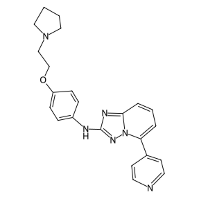 c1cc(-c2ccncc2)n2nc(Nc3ccc(OCCN4CCCC4)cc3)nc2c1